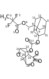 CC(F)(F)C(=O)OCC12CC3CC(C1)CC(OC(=O)OC1C4CC5C(O4)C1OS5(=O)=O)(C3)C2